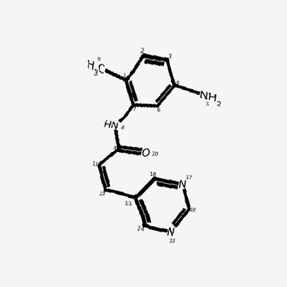 Cc1ccc(N)cc1NC(=O)/C=C\c1cncnc1